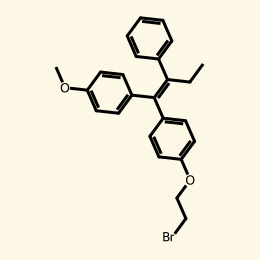 CCC(=C(c1ccc(OC)cc1)c1ccc(OCCBr)cc1)c1ccccc1